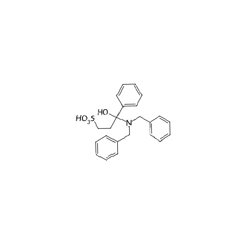 O=S(=O)(O)CCC(O)(c1ccccc1)N(Cc1ccccc1)Cc1ccccc1